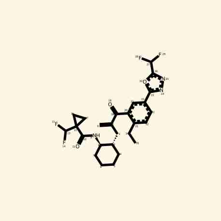 C=C(C[C@@H]1CCCC[C@H]1NC(=O)C1(C(F)F)CC1)C(=O)c1cc(-c2nnc(C(F)F)o2)ccc1CC